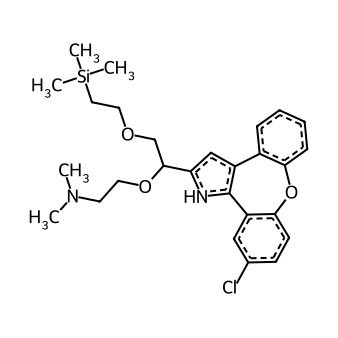 CN(C)CCOC(COCC[Si](C)(C)C)c1cc2c([nH]1)-c1cc(Cl)ccc1Oc1ccccc1-2